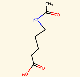 CC(=O)NCCCCC(=O)O